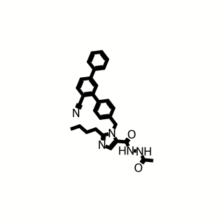 CCCCc1ncc(C(=O)NNC(C)=O)n1Cc1ccc(-c2cc(-c3ccccc3)ccc2C#N)cc1